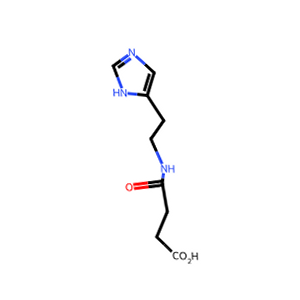 O=C(O)CCC(=O)NCCc1cnc[nH]1